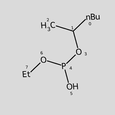 CCCCC(C)OP(O)OCC